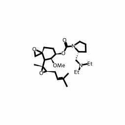 CCN(CC)C[C@H]1CCCN1C(=O)O[C@@H]1CC[C@]2(CO2)C([C@@]2(C)O[C@@H]2CC=C(C)C)[C@@H]1OC